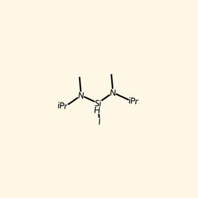 CC(C)N(C)[SiH](I)N(C)C(C)C